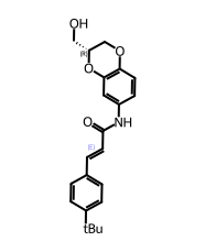 CC(C)(C)c1ccc(/C=C/C(=O)Nc2ccc3c(c2)O[C@H](CO)CO3)cc1